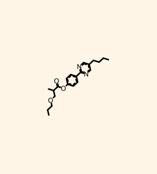 CCCCc1cnc(-c2ccc(OC(=O)C(C)COCCC)cc2)nc1